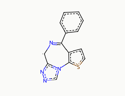 [CH]1N=C(c2ccccc2)c2ccsc2-n2cnnc21